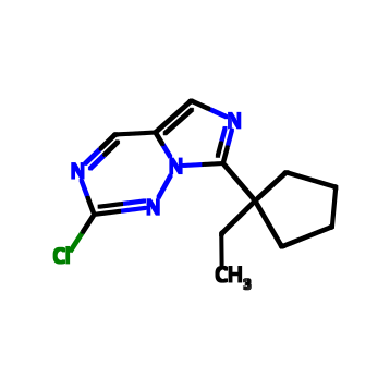 CCC1(c2ncc3cnc(Cl)nn23)CCCC1